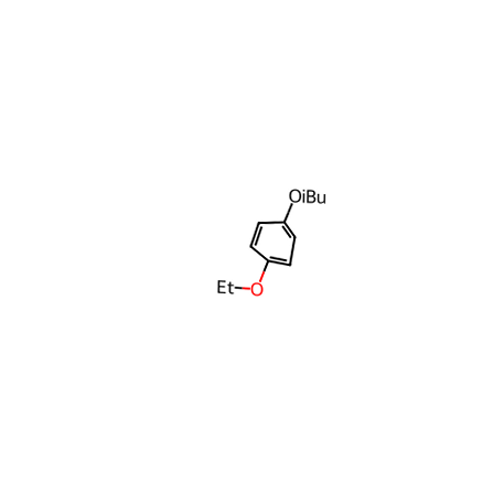 CCOc1ccc(OCC(C)C)cc1